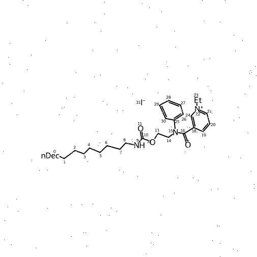 CCCCCCCCCCCCCCCCCCNC(=O)OCCN(C(=O)c1ccc[n+](CC)c1)c1ccccc1.[I-]